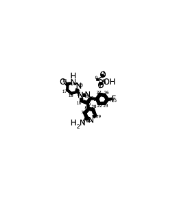 CS(=O)(=O)O.Nc1cc(-c2cn(C3=NNC(=O)CC3)nc2-c2ccc(F)cc2)ccn1